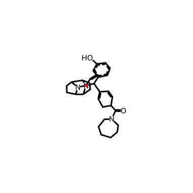 C=CCN1C2CCC1C1CCC2N1C(C1=CCC(C(=O)N2CCCCCC2)C=C1)c1cccc(O)c1